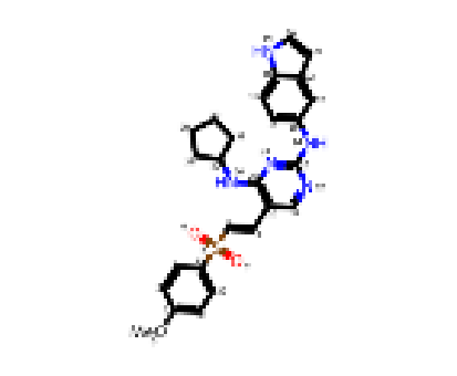 COc1ccc(S(=O)(=O)C=Cc2cnc(Nc3ccc4[nH]ccc4c3)nc2NC2CCCC2)cc1